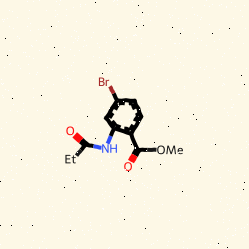 CCC(=O)Nc1cc(Br)ccc1C(=O)OC